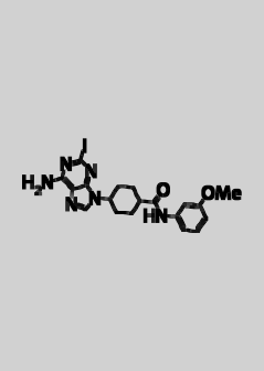 COc1cccc(NC(=O)C2CCC(n3cnc4c(N)nc(I)nc43)CC2)c1